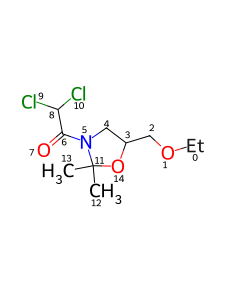 CCOCC1CN(C(=O)C(Cl)Cl)C(C)(C)O1